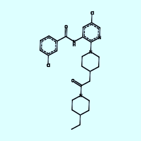 CCC1CCN(C(=O)CC2CCN(c3ncc(Cl)cc3NC(=O)c3cccc(Cl)c3)CC2)CC1